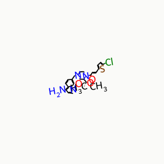 CO[C@H](C)[C@H]1C(=O)N(Cc2ccc3c(N)ccnc3c2)CCN1C(=O)C=Cc1ccc(Cl)s1